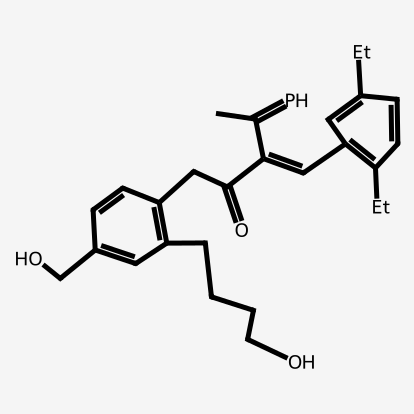 CCc1ccc(CC)c(/C=C(/C(=O)Cc2ccc(CO)cc2CCCCO)C(C)=P)c1